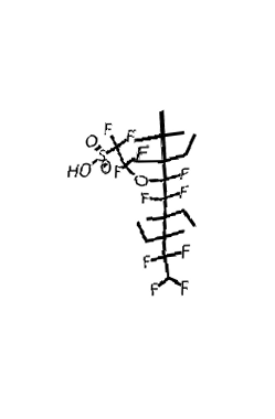 CCC(C)(C(F)(F)C(F)F)C(C)(CC)C(F)(F)C(F)(OC(F)(F)C(F)(F)S(=O)(=O)O)C(C)(CC)C(C)(C)C